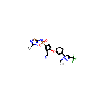 CCn1nc(C(F)(F)F)cc1-c1cccc(Oc2ccc(S(=O)(=O)Nc3nc(C)ns3)cc2C#N)c1